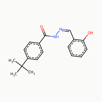 CC(C)(C)c1ccc(C(=O)N/N=C\c2ccccc2O)cc1